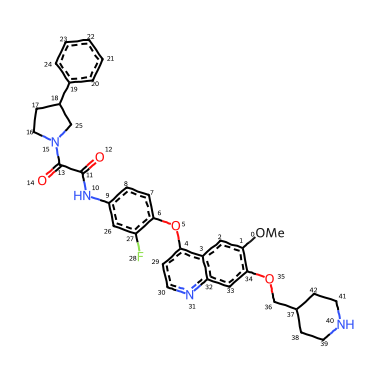 COc1cc2c(Oc3ccc(NC(=O)C(=O)N4CCC(c5ccccc5)C4)cc3F)ccnc2cc1OCC1CCNCC1